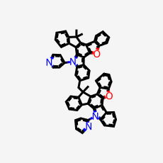 CC1(C)c2ccccc2-c2c1c1c3ccccc3oc1c1c3ccc(CC4(C)c5ccccc5-c5c4c4c6ccccc6oc4c4c6ccccc6n(-c6ccccn6)c54)cc3n(-c3ccncc3)c21